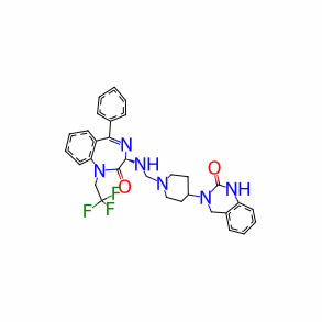 O=C1[C@H](NCN2CCC(N3Cc4ccccc4NC3=O)CC2)N=C(c2ccccc2)c2ccccc2N1CC(F)(F)F